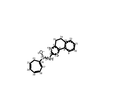 [O-][S+](Nc1nc2c(s1)-c1ccccc1CC2)C1=CC=CC=CC1